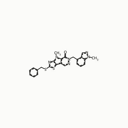 Cn1ncc2c(Cn3ncc4c5sc(SCc6ccccc6)nc5n(C)c4c3=O)cccc21